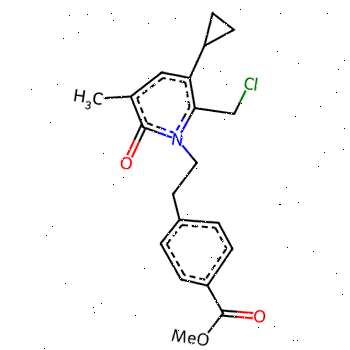 COC(=O)c1ccc(CCn2c(CCl)c(C3CC3)cc(C)c2=O)cc1